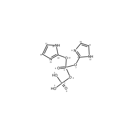 O=P(O)(O)OP(=O)(Oc1ncc[nH]1)Oc1ncc[nH]1